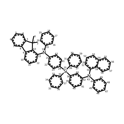 CC1(C)c2ccccc2-c2cccc(N(c3ccccc3)c3ccc([Si](c4ccccc4)(c4ccccc4)c4cccc(N(c5ccccc5)c5cccc6ccccc56)c4)cc3)c21